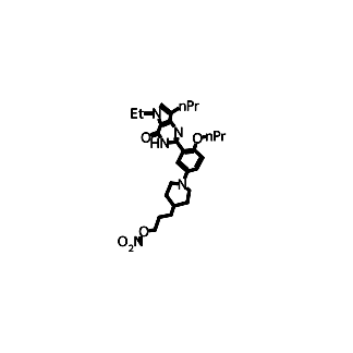 CCCOc1ccc(N2CCC(CCCO[N+](=O)[O-])CC2)cc1-c1nc2c(CCC)cn(CC)c2c(=O)[nH]1